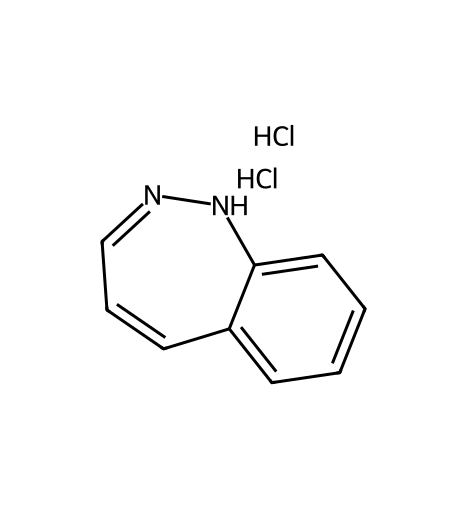 C1=Cc2ccccc2NN=C1.Cl.Cl